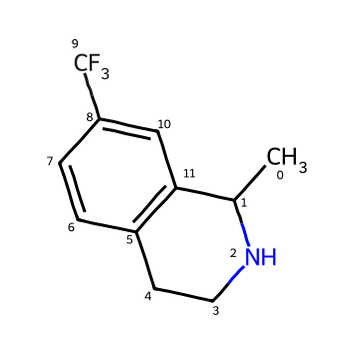 CC1NCCc2ccc(C(F)(F)F)cc21